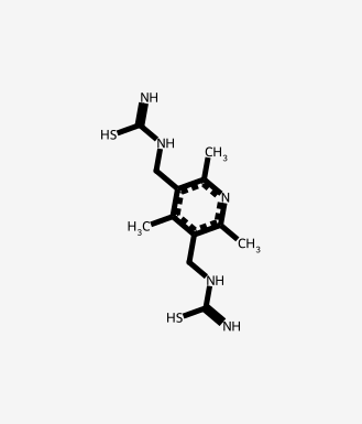 Cc1nc(C)c(CNC(=N)S)c(C)c1CNC(=N)S